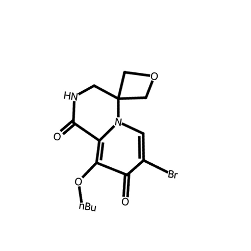 CCCCOc1c2n(cc(Br)c1=O)C1(CNC2=O)COC1